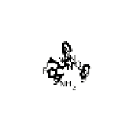 Cc1c(N)sc2cc(F)c(F)c(-c3cc4nc(OC[C@@]56CCCN5C[C@H](F)C6)nc(N5CC6CCC(C5)N6)c4nc3C3CC3)c12